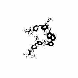 CCOc1cc(OCc2cccc(-c3cccc4c3CC[C@@H]4Oc3cc(OCC)c(CN4CCC(OC(=O)C(C)C)CC4)cc3Cl)c2C)c(Cl)cc1CN1CCC(OC(=O)C(C)C)CC1